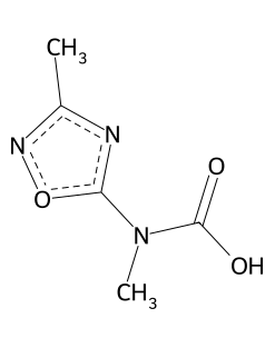 Cc1noc(N(C)C(=O)O)n1